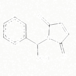 O=C(O)C(c1ccccc1)N1C(=O)C=CC1=O